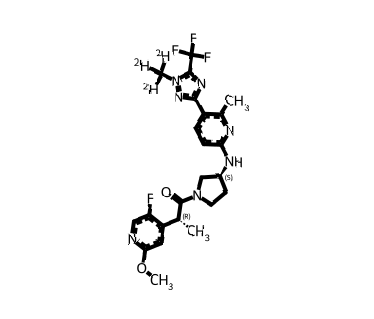 [2H]C([2H])([2H])n1nc(-c2ccc(N[C@H]3CCN(C(=O)[C@H](C)c4cc(OC)ncc4F)C3)nc2C)nc1C(F)(F)F